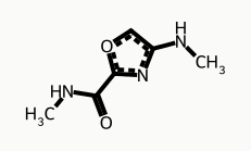 CNC(=O)c1nc(NC)co1